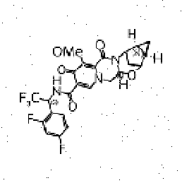 COc1c2n(cc(C(=O)N[C@@H](c3ccc(F)cc3F)C(F)(F)F)c1=O)C[C@H]1OC3CC([C@H]4C[C@@H]34)N1C2=O